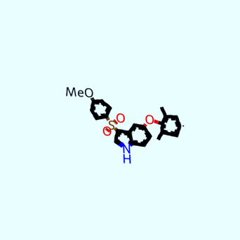 COc1ccc(S(=O)(=O)c2c[nH]c3ccc(Oc4c(C)c[c]cc4C)cc23)cc1